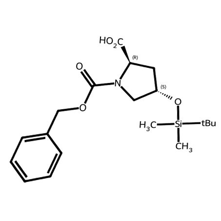 CC(C)(C)[Si](C)(C)O[C@H]1C[C@H](C(=O)O)N(C(=O)OCc2ccccc2)C1